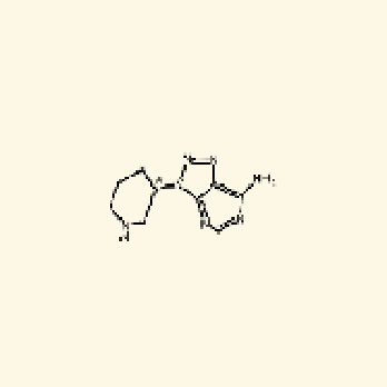 Nc1ncnc2c1nnn2[C@@H]1CCCNC1